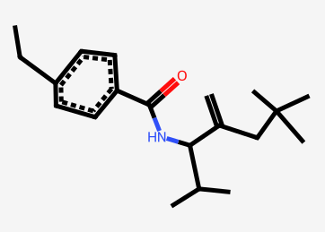 C=C(CC(C)(C)C)C(NC(=O)c1ccc(CC)cc1)C(C)C